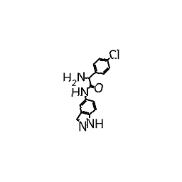 NC(C(=O)Nc1ccc2[nH]ncc2c1)c1ccc(Cl)cc1